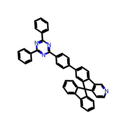 c1ccc(-c2nc(-c3ccccc3)nc(-c3ccc(-c4ccc5c(c4)C4(c6ccccc6-c6ccccc64)c4ccncc4-5)cc3)n2)cc1